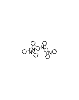 c1ccc(-c2cc(-c3ccccc3-c3cccc(-n4c5ccccc5c5cc6c(cc54)c4ccccc4n6-c4ccccc4)c3)nc(-c3ccccc3)n2)cc1